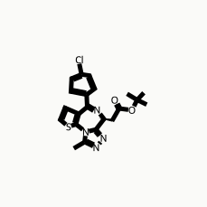 Cc1nnc2n1-c1sccc1C(c1ccc(Cl)cc1)=N[C@H]2CC(=O)OC(C)(C)C